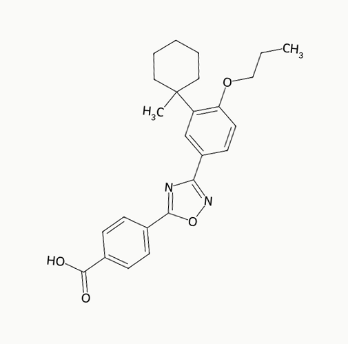 CCCOc1ccc(-c2noc(-c3ccc(C(=O)O)cc3)n2)cc1C1(C)CCCCC1